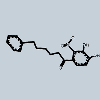 O=C(CCCCCc1ccccc1)c1ccc(O)c(O)c1[N+](=O)[O-]